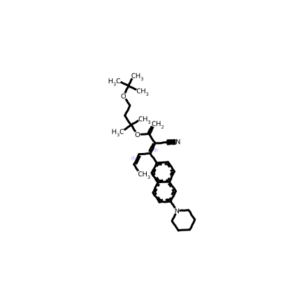 C=C(OC(C)(C)CCOC(C)(C)C)/C(C#N)=C(\C=C/C)c1ccc2cc(N3CCCCC3)ccc2c1